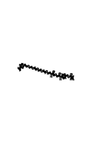 CC(C)c1cn(CCOCCOCCOCCOCCOCCNC(=O)COCC(=O)Nc2ccc(COC(=O)C(C)(C)C)cc2)nn1